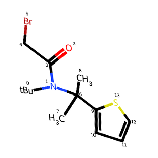 CC(C)(C)N(C(=O)CBr)C(C)(C)c1cccs1